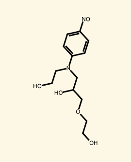 O=Nc1ccc(N(CCO)CC(O)COCCO)cc1